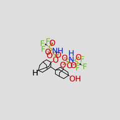 O=S(=O)(NS(=O)(=O)C(F)(F)F)OC12CC3CC(O)(C1)CC(C1C4CC5C[C@H](C4)CC1(OS(=O)(=O)NS(=O)(=O)C(F)(F)F)C5)(C3)C2